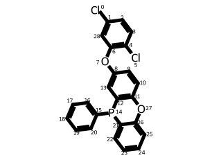 Clc1ccc(Cl)c(Oc2ccc3c(c2)P(c2ccccc2)c2ccccc2O3)c1